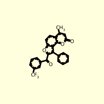 Cc1cc(=O)oc2c1ccc1oc(C(=O)c3cccc(C(F)(F)F)c3)c(-c3ccccc3)c12